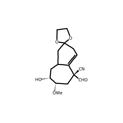 CO[C@H]1C[C@@](C#N)(C=O)C2=CCC3(CC2C[C@H]1O)OCCO3